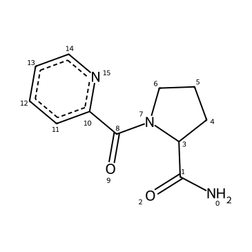 NC(=O)C1CCCN1C(=O)c1ccccn1